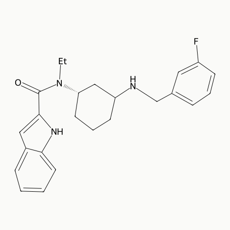 CCN(C(=O)c1cc2ccccc2[nH]1)[C@H]1CCCC(NCc2cccc(F)c2)C1